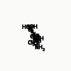 Nc1cc(Cl)c(/N=C2\NCCN2C(=O)CCCON(O)O)c(Cl)c1